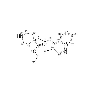 CCOC(=O)C1(CCCc2c(F)cnc3ccccc23)CCNCC1